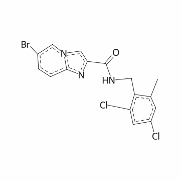 Cc1cc(Cl)cc(Cl)c1CNC(=O)c1cn2cc(Br)ccc2n1